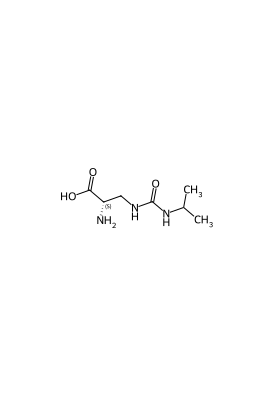 CC(C)NC(=O)NC[C@H](N)C(=O)O